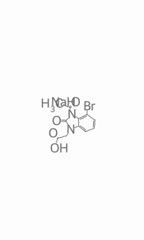 CC(=O)n1c(=O)n(CC(=O)O)c2cccc(Br)c21.[NaH]